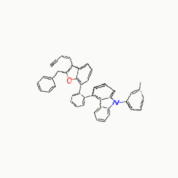 C#C/C=C\c1c(Cc2ccccc2)oc2c(-c3ccccc3-c3cccc4c3c3ccccc3n4-c3cccc(C)c3)cccc12